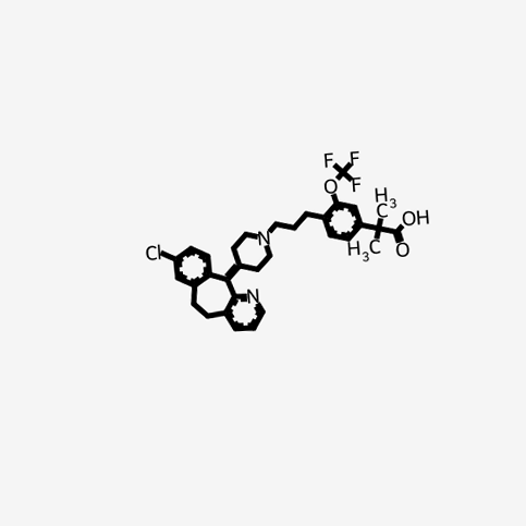 CC(C)(C(=O)O)c1ccc(CCCN2CCC(=C3c4ccc(Cl)cc4CCc4cccnc43)CC2)c(OC(F)(F)F)c1